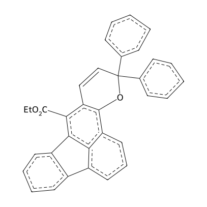 CCOC(=O)c1c2c(c3cccc4c3c1-c1ccccc1-4)OC(c1ccccc1)(c1ccccc1)C=C2